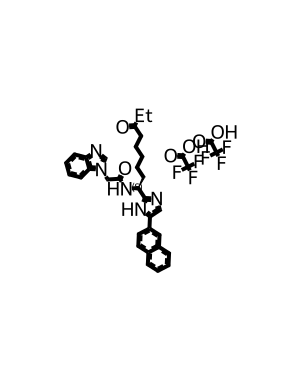 CCC(=O)CCCCC[C@H](NC(=O)Cn1cnc2ccccc21)c1ncc(-c2ccc3ccccc3c2)[nH]1.O=C(O)C(F)(F)F.O=C(O)C(F)(F)F